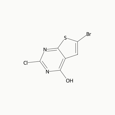 Oc1nc(Cl)nc2sc(Br)cc12